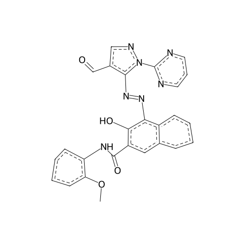 COc1ccccc1NC(=O)c1cc2ccccc2c(/N=N/c2c(C=O)cnn2-c2ncccn2)c1O